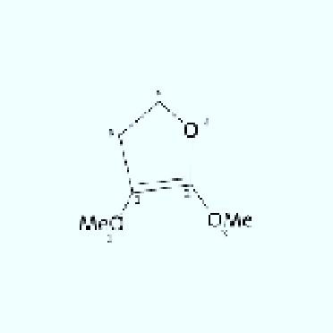 COC1=C(OC)OCC1